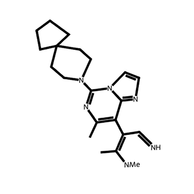 CN/C(C)=C(\C=N)c1c(C)nc(N2CCC3(CCCC3)CC2)n2ccnc12